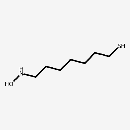 ONCCCCCCCS